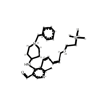 Cc1ncc(C=O)c(NC2CCN(Cc3ccccc3)CC2)c1/C=C\C=C/COCC[Si](C)(C)C